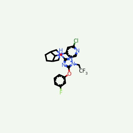 Fc1cccc(Oc2nc(NC3C4CCC3CN(c3ccnc(Cl)c3)C4)nn2CC(F)(F)F)c1